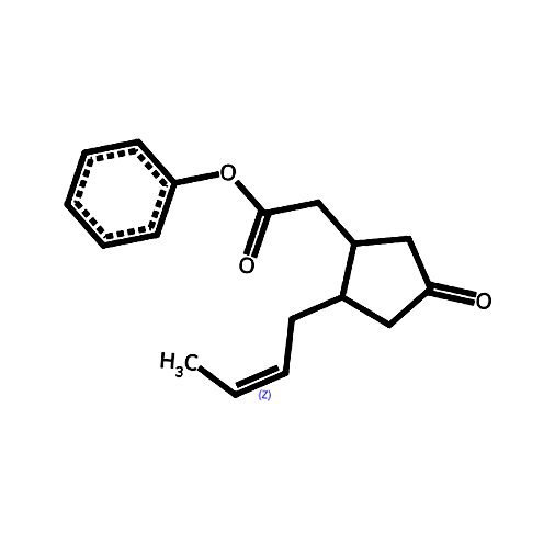 C/C=C\CC1CC(=O)CC1CC(=O)Oc1ccccc1